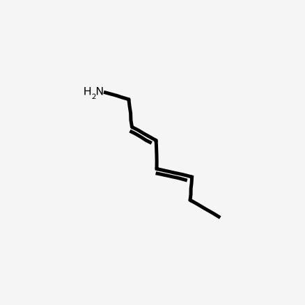 CCC=CC=CCN